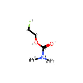 CC(C)N(C(=O)OCCF)C(C)C